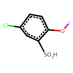 O=S(=O)(O)c1cc(Cl)ccc1OI